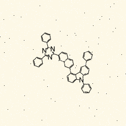 C1=CC2=CC=C(c3cccc4c3c3cc(-c5ccccc5)ccc3n4-c3ccccc3)CC2C=C1c1nc(-c2ccccc2)nc(-c2ccccc2)n1